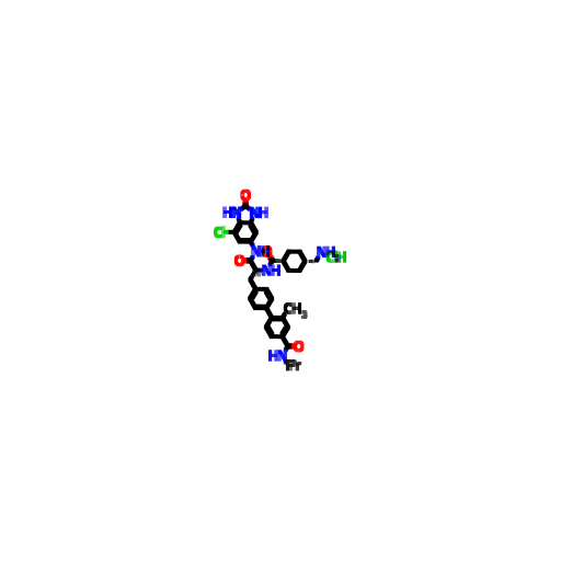 Cc1cc(C(=O)NC(C)C)ccc1-c1ccc(C[C@H](NC(=O)[C@H]2CC[C@H](CN)CC2)C(=O)Nc2cc(Cl)c3[nH]c(=O)[nH]c3c2)cc1.Cl